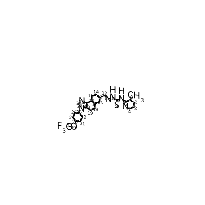 Cc1cccnc1NC(=S)NN=Cc1ccc2c(ccc3c2ncn3-c2ccc(OC(F)(F)F)cc2)c1